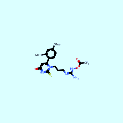 COc1ccc(-c2cc(=O)[nH]c(=S)n2CCCN=C(N)NOC(=O)C(F)(F)F)c(OC)c1